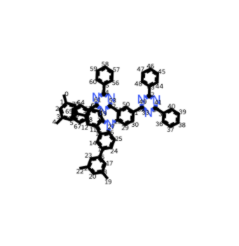 Cc1cc(C)cc(-c2ccc3c(c2)c2cc(-c4cc(C)cc(C)c4)ccc2n3-c2ccc(-c3nc(-c4ccccc4)nc(-c4ccccc4)n3)cc2-c2nc(-c3ccccc3)nc(-c3ccccc3)n2)c1